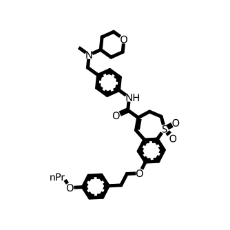 CCCOc1ccc(CCOc2ccc3c(c2)C=C(C(=O)Nc2ccc(CN(C)C4CCOCC4)cc2)CCS3(=O)=O)cc1